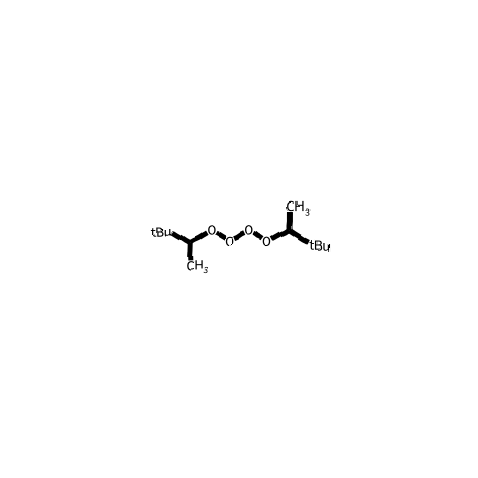 CC(OOOOC(C)C(C)(C)C)C(C)(C)C